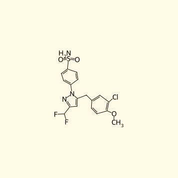 COc1ccc(Cc2cc(C(F)F)nn2-c2ccc(S(N)(=O)=O)cc2)cc1Cl